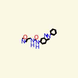 O=C(NCc1cnco1)Nc1ccc2cn(-c3ccccc3)nc2c1